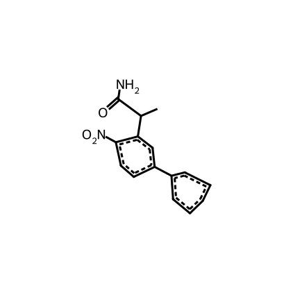 CC(C(N)=O)c1cc(-c2ccccc2)ccc1[N+](=O)[O-]